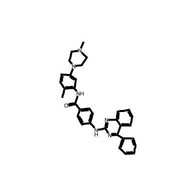 Cc1ccc(N2CCN(C)CC2)cc1NC(=O)c1ccc(Nc2nc(-c3ccccc3)c3ccccc3n2)cc1